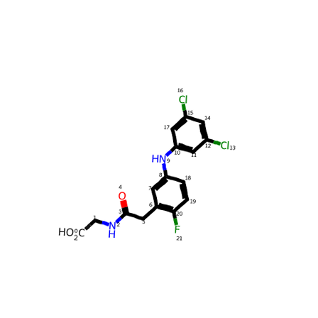 O=C(O)CNC(=O)Cc1cc(Nc2cc(Cl)cc(Cl)c2)ccc1F